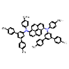 [C-]#[N+]c1ccc(-c2cc(-c3ccc(C#N)cc3)cc(N(c3ccc(OC)cc3)c3ccc4ccc5c(N(c6ccc(OC)cc6)c6cc(-c7ccc(C#N)cc7)cc(-c7ccc([N+]#[C-])cc7)c6)ccc6ccc3c4c65)c2)cc1